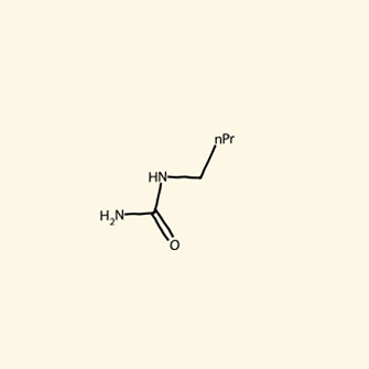 [CH2]CCCNC(N)=O